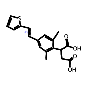 Cc1cc(/C=C/c2cccs2)cc(C)c1C(CC(=O)O)C(=O)O